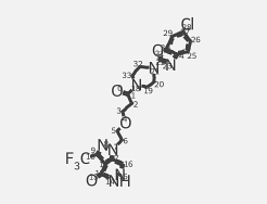 O=C(CCOCCn1nc(C(F)(F)F)c2c(=O)[nH]ncc21)N1CCN(c2nc3ccc(Cl)cc3o2)CC1